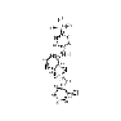 FC(F)(F)c1ccc(Nc2ncnc3sc(Cc4ccccc4Cl)nc23)cn1